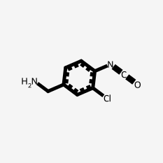 NCc1ccc(N=C=O)c(Cl)c1